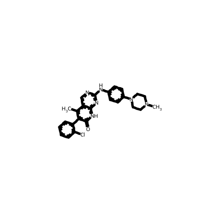 Cc1c(-c2ccccc2Cl)c(=O)[nH]c2nc(Nc3ccc(N4CCN(C)CC4)cc3)ncc12